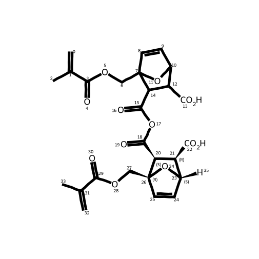 C=C(C)C(=O)OCC12C=CC(O1)C(C(=O)O)C2C(=O)OC(=O)[C@H]1[C@@H](C(=O)O)[C@@H]2C=C[C@@]1(COC(=O)C(=C)C)O2